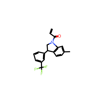 C=CC(=O)N1CC(c2cccc(C(F)(F)F)c2)c2ccc(C)cc21